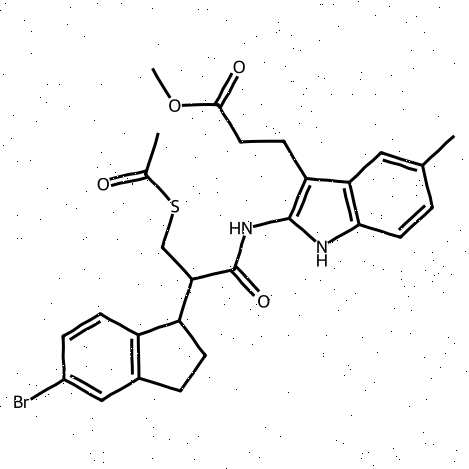 COC(=O)CCc1c(NC(=O)C(CSC(C)=O)C2CCc3cc(Br)ccc32)[nH]c2ccc(C)cc12